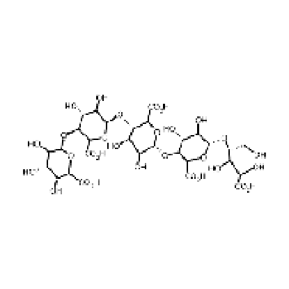 O=C(O)C(O)C(O)[C@@H](CO)O[C@@H]1OC(C(=O)O)[C@@H](O[C@H]2OC(C(=O)O)[C@@H](O[C@H]3OC(C(=O)O)[C@@H](O[C@H]4OC(C(=O)O)[C@@H](O)[C@H](O)C4O)[C@H](O)C3O)[C@H](O)C2O)[C@H](O)C1O